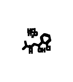 CC(C)NCC(O)c1ccccc1Cl.Cl.O